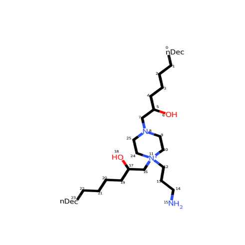 CCCCCCCCCCCCCCC(O)CN1CC[N+](CCCN)(CC(O)CCCCCCCCCCCCCC)CC1